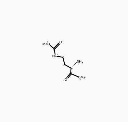 COC(=O)NCC[C@H](N)C(=O)OC